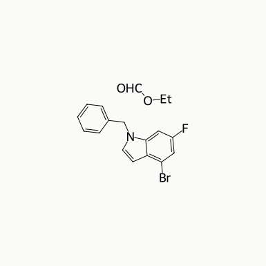 CCOC=O.Fc1cc(Br)c2ccn(Cc3ccccc3)c2c1